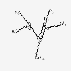 CCCCCCCCCCOC(C=CCCCCC(OCCCCCCCCC)OCCCCCCCCC)OC(C=CCCCCC(OCCCCCCCCC)OCCCCCCCCC)OCCCCCCCCCC